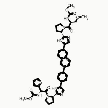 COC[C@H](NC(=O)OC)C(=O)N1CCC[C@H]1c1ncc(-c2ccc3cc(-c4ccc(-c5cnc([C@@H]6CCCN6C(=O)[C@H](NC(=O)OC)c6cccs6)[nH]5)cc4)ccc3c2)[nH]1